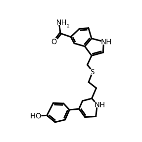 NC(=O)c1ccc2[nH]cc(CSCCC3CC(c4ccc(O)cc4)=CCN3)c2c1